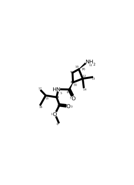 COC(=O)C(NC(=O)[C@H]1C[C@@H](N)C1(C)C)C(C)C